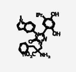 CC(C)c1cc(-c2nn(CC(N)(Cc3ccccc3)C(=O)O)c(=O)n2-c2ccc3c(ccn3C)c2)c(O)cc1O